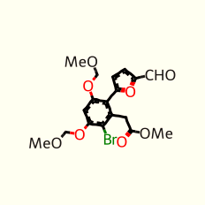 COCOc1cc(OCOC)c(-c2ccc(C=O)o2)c(CC(=O)OC)c1Br